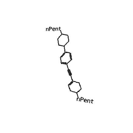 CCCCCC1CC=C(C#Cc2ccc(C3CCC(CCCCC)CC3)cc2)CC1